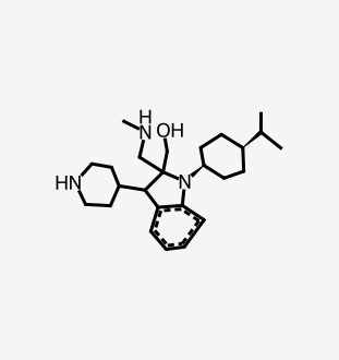 CNCC1(CO)C(C2CCNCC2)c2ccccc2N1[C@H]1CC[C@@H](C(C)C)CC1